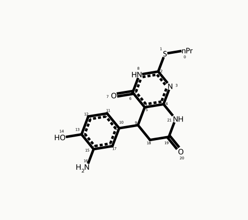 CCCSc1nc2c(c(=O)[nH]1)C(c1ccc(O)c(N)c1)CC(=O)N2